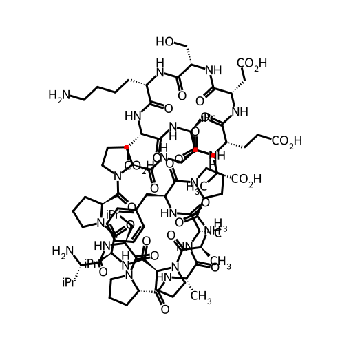 CC(C)C[C@H](NC(=O)[C@@H](N)C(C)C)C(=O)N1CCC[C@H]1C(=O)N[C@@H](C)C(=O)N[C@@H](C)C(=O)N[C@@H](Cc1ccccc1)C(=O)N1CCC[C@H]1C(=O)N[C@@H](C)C(=O)N1CCC[C@H]1C(=O)N[C@H](C(=O)N1CCC[C@H]1C(=O)N1CCC[C@H]1C(=O)NCC(=O)N[C@@H](CCC(=O)O)C(=O)N[C@@H](CC(=O)O)C(=O)N[C@@H](CO)C(=O)N[C@@H](CCCCN)C(=O)N[C@@H](CC(=O)O)C(=O)N[C@H](C(=O)N[C@@H](C)C(=O)O)C(C)C)C(C)C